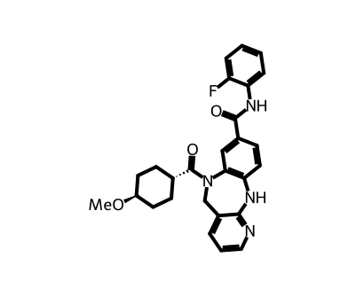 CO[C@H]1CC[C@H](C(=O)N2Cc3cccnc3Nc3ccc(C(=O)Nc4ccccc4F)cc32)CC1